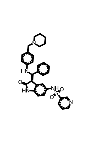 O=C1Nc2ccc(NS(=O)(=O)c3cccnc3)cc2/C1=C(/Nc1ccc(CN2CCCCC2)cc1)c1ccccc1